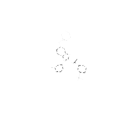 Cc1cccc(-n2c(NC(=O)c3cccc(C(F)(F)F)c3)nc3cc(CN4CCCCC4)ccc32)c1